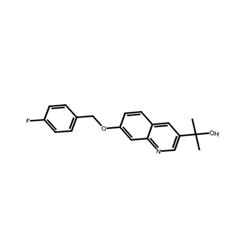 CC(C)(O)c1cnc2cc(OCc3ccc(F)cc3)ccc2c1